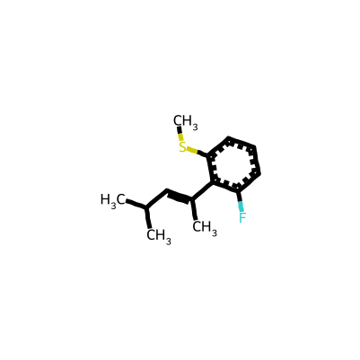 CSc1cccc(F)c1/C(C)=C/C(C)C